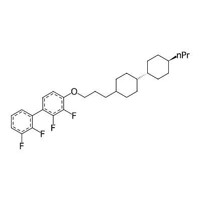 CCC[C@H]1CC[C@H](C2CCC(CCCOc3ccc(-c4cccc(F)c4F)c(F)c3F)CC2)CC1